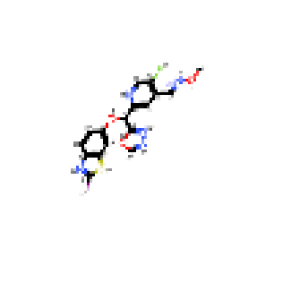 CO/N=C/c1cc(C(Oc2ccc3nc(I)sc3c2)c2nnco2)ncc1F